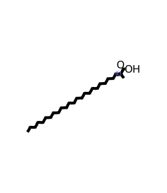 CCCCCCCCCCCCCCCCCCCCCCC/C=C(\C)C(=O)O